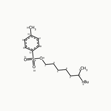 CCCCC(C)CCCCCOS(=O)(=O)c1ccc(C)cc1